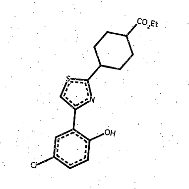 CCOC(=O)C1CCC(c2nc(-c3cc(Cl)ccc3O)cs2)CC1